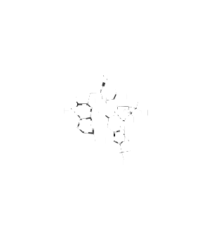 Cc1ccc2[nH]c(=O)c(C[C@@H](C#N)NC(=O)[C@@H]3[C@@H]4[C@H](CN3C(=O)Cc3cc(C(F)(F)F)n[nH]3)C4(C)C)cc2c1